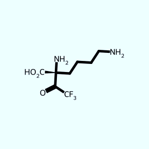 NCCCC[C@](N)(C(=O)O)C(=O)C(F)(F)F